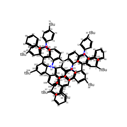 CC(C)(C)c1ccc(N(c2ccc(C(C)(C)C)cc2)c2ccc3c(c2)N(c2c(-c4cccc(-c5ccccc5)c4)cc(C(C)(C)C)cc2-c2cccc(-c4ccccc4)c2)c2cc(-c4cc(C(C)(C)C)cc(C(C)(C)C)c4)cc4c2B3c2ccc(N(c3ccc(C(C)(C)C)cc3)c3ccc(C(C)(C)C)cc3)cc2N4c2c(-c3cccc(-c4ccccc4)c3)cc(C(C)(C)C)cc2-c2cccc(-c3ccccc3)c2)cc1